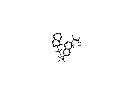 CO/C(C)=C(/C)c1cc(-c2c(C(C)(C)C)ccc3ccccc23)c2cc([Si](C)(C)C)ccc2n1